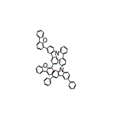 c1ccc(-c2ccc3c(c2)c2cc(-c4ccccc4)ccc2n3-c2ccc(-c3ccccc3-n3c4ccc(-c5cccc6c5oc5ccccc56)cc4c4cc(-c5cccc6c5oc5ccccc56)ccc43)cc2)cc1